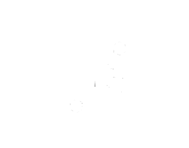 CN(CC(=O)C1CCc2cc(F)ccc2O1)C[C@@H](O)[C@H]1CCc2cc(F)ccc2O1